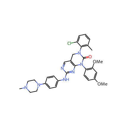 COc1ccc(N2C(=O)N(c3c(C)cccc3Cl)Cc3cnc(Nc4ccc(N5CCN(C)CC5)cc4)nc32)c(OC)c1